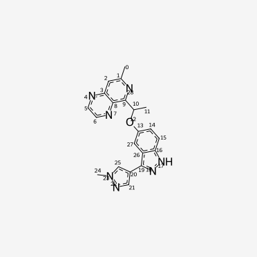 Cc1cc2nccnc2c(C(C)Oc2ccc3[nH]nc(-c4cnn(C)c4)c3c2)n1